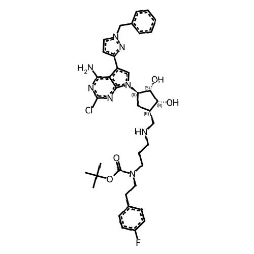 CC(C)(C)OC(=O)N(CCCNC[C@H]1C[C@@H](n2cc(-c3ccn(Cc4ccccc4)n3)c3c(N)nc(Cl)nc32)[C@H](O)[C@@H]1O)CCc1ccc(F)cc1